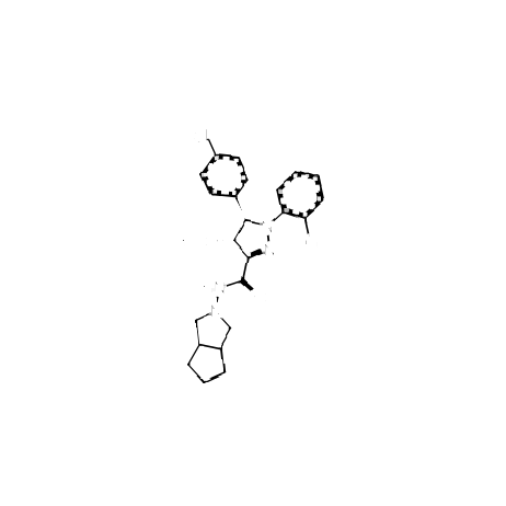 C[C@H]1C(C(=O)NN2CC3CCCC3C2)=NN(c2ccccc2Cl)[C@@H]1c1ccc(Cl)cc1